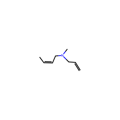 C=CCN(C)C/C=C\C